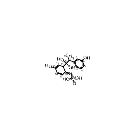 CC(c1cccc(O)c1)C(O)(O)C1C=C(O)C=CC1=NP(=O)(O)O